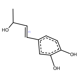 CC(O)/C=C/c1ccc(O)c(O)c1